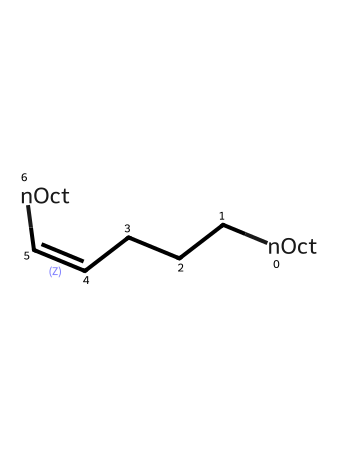 CC[CH]CCCCCCCC/C=C\CCCCCCCC